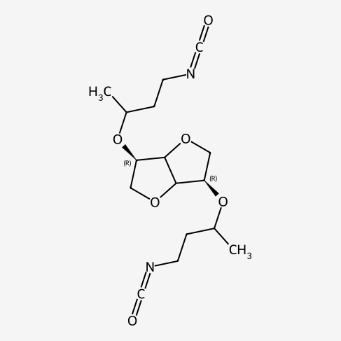 CC(CCN=C=O)O[C@@H]1COC2C1OC[C@H]2OC(C)CCN=C=O